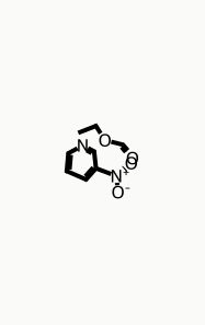 CCOC=O.O=[N+]([O-])c1cccnc1